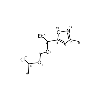 CCC(OCOC(C)Cl)c1cc(C)no1